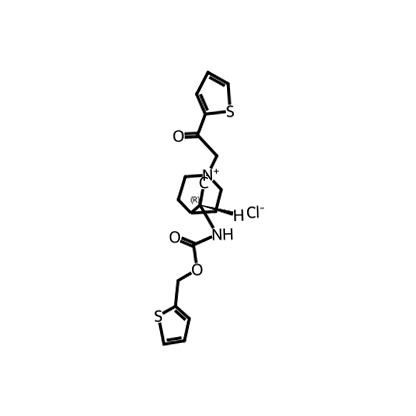 O=C(N[C@H]1C[N+]2(CC(=O)c3cccs3)CCC1CC2)OCc1cccs1.[Cl-]